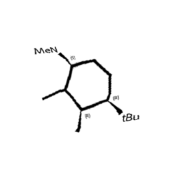 CN[C@H]1CC[C@@H](C(C)(C)C)[C@@H](C)C1C